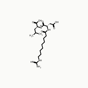 CC(C)C[C@H](NC(=O)[C@H](CC(=O)O)NC(=O)CCCCCCCCNC(=N)N)C(=O)O